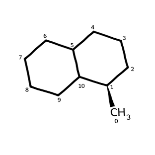 C[C@@H]1CCCC2CCCCC21